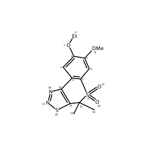 CCOc1cc2c(cc1OC)S(=O)(=O)C(C)(C)c1snnc1-2